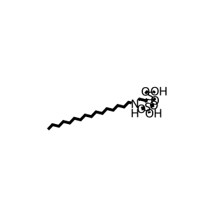 CCCCCCCCCCCCCCCCNCC(S(=O)(=O)O)S(=O)(=O)O